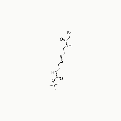 CC(C)(C)OC(=O)NCCSSCCNC(=O)CBr